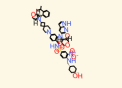 CC(C)c1ccccc1[C@@H]1[C@@H]2C[C@@H](CO2)N1C1CC2(CCN(c3ccc(C(=O)NS(=O)(=O)c4ccc(NC[C@H]5CC[C@](C)(O)CC5)c([N+](=O)[O-])c4)c(N4c5cc6cc[nH]c6nc5O[C@H]5COCC[C@@H]54)c3)CC2)C1